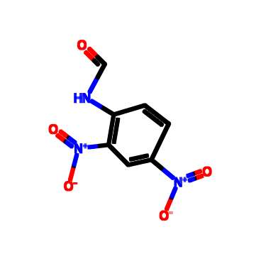 O=CNc1ccc([N+](=O)[O-])cc1[N+](=O)[O-]